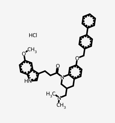 COc1ccc2[nH]cc(CCC(=O)N3CC(CN(C)C)Cc4ccc(OCc5ccc(-c6ccccc6)cc5)cc43)c2c1.Cl